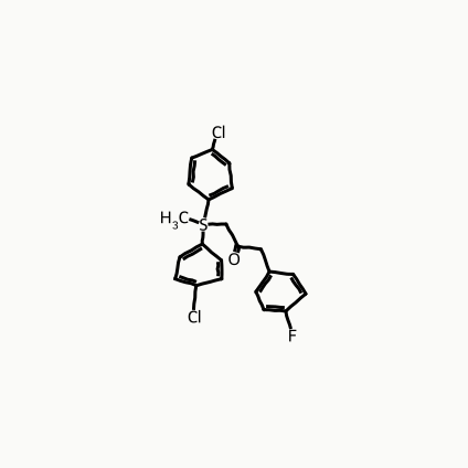 CS(CC(=O)Cc1ccc(F)cc1)(c1ccc(Cl)cc1)c1ccc(Cl)cc1